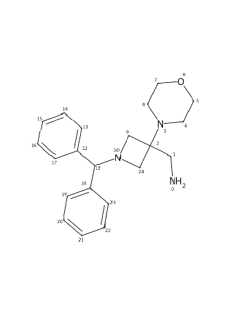 NCC1(N2CCOCC2)CN(C(c2ccccc2)c2ccccc2)C1